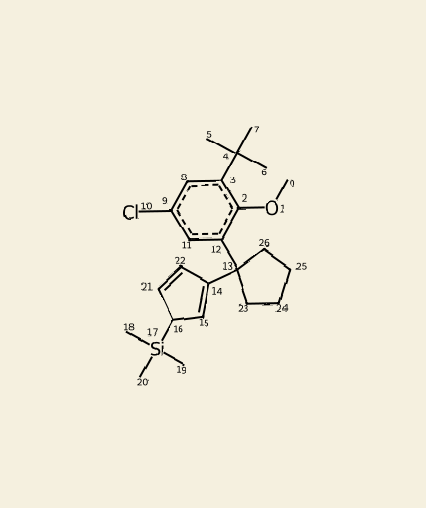 COc1c(C(C)(C)C)cc(Cl)cc1C1(C2=CC([Si](C)(C)C)C=C2)CCCC1